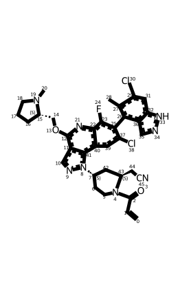 C=CC(=O)N1CC[C@H](n2ncc3c(OC[C@@H]4CCCN4C)nc4c(F)c(-c5c(C)c(Cl)cc6[nH]ncc56)c(Cl)cc4c32)C[C@H]1CC#N